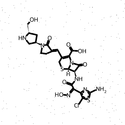 Nc1nc(/C(=N/O)C(=O)N[C@@H]2C(=O)N3C(C(=O)O)=C(/C=C4\CCN([C@H]5CN[C@H](CO)C5)C4=O)CS[C@H]23)c(Cl)s1